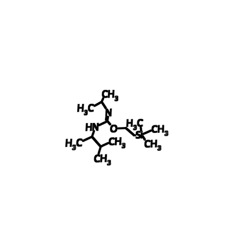 CC(C)/N=C(\NC(C)C(C)C)OCC[Si](C)(C)C